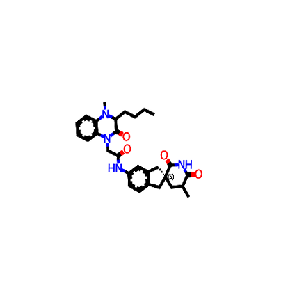 CCCCC1C(=O)N(CC(=O)Nc2ccc3c(c2)C[C@@]2(C3)CC(C)C(=O)NC2=O)c2ccccc2N1C